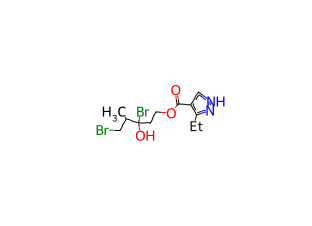 CCc1n[nH]cc1C(=O)OCCC(O)(Br)C(C)CBr